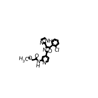 COCC(=O)Nc1cc(-c2nc(-c3ncc[nH]3)c(-c3ccccc3Cl)o2)ccn1